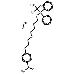 CC(C)c1ccc(CCCOCCCCO[Si](c2ccccc2)(c2ccccc2)C(C)(C)C)cc1.OO